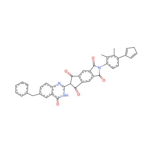 Cc1c(C2=CCC=C2)ccc(N2C(=O)c3cc4c(cc3C2=O)C(=O)C(c2nc3ccc(Cc5ccccc5)cc3c(=O)[nH]2)C4=O)c1C